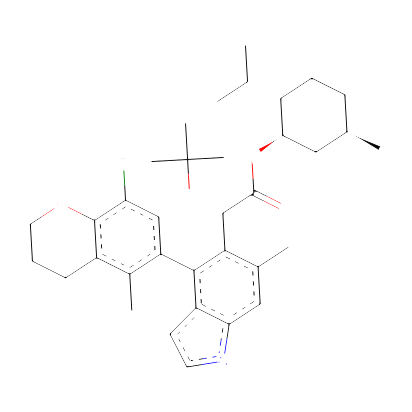 Cc1cc2[nH]ccc2c(-c2cc(F)c3c(c2C)CCCO3)c1[C@H](OC(C)(C)C)C(=O)O[C@@H]1C[C@H](C)CC[C@H]1C(C)C